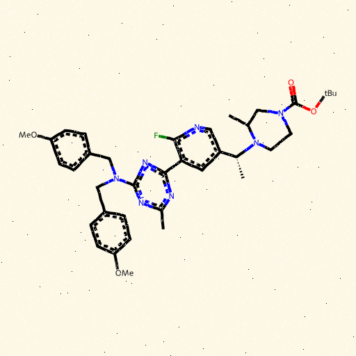 COc1ccc(CN(Cc2ccc(OC)cc2)c2nc(C)nc(-c3cc([C@@H](C)N4CCN(C(=O)OC(C)(C)C)CC4C)cnc3F)n2)cc1